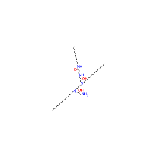 CCCCCCCCCCCCCCN(CCCCN(CCCCCCCCCCCCCC)CC(O)CNCCC(=O)NCCCCCCCCCC)CC(O)CN